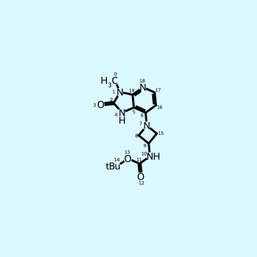 Cn1c(=O)[nH]c2c(N3CC(NC(=O)OC(C)(C)C)C3)ccnc21